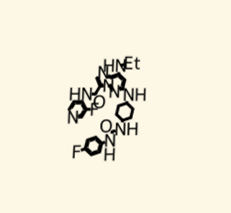 CCNc1cc(NC2CCC(NC(=O)Nc3ccc(F)cc3)CC2)nn2c(C(=O)Nc3ccncc3F)cnc12